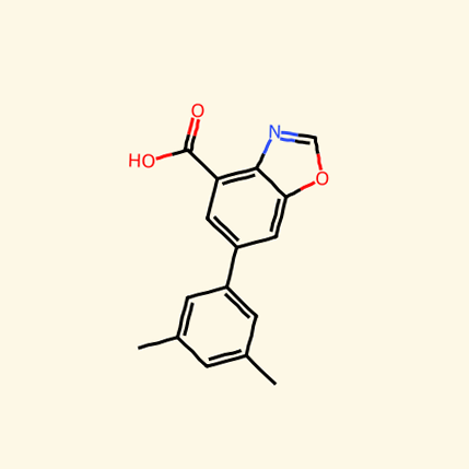 Cc1cc(C)cc(-c2cc(C(=O)O)c3ncoc3c2)c1